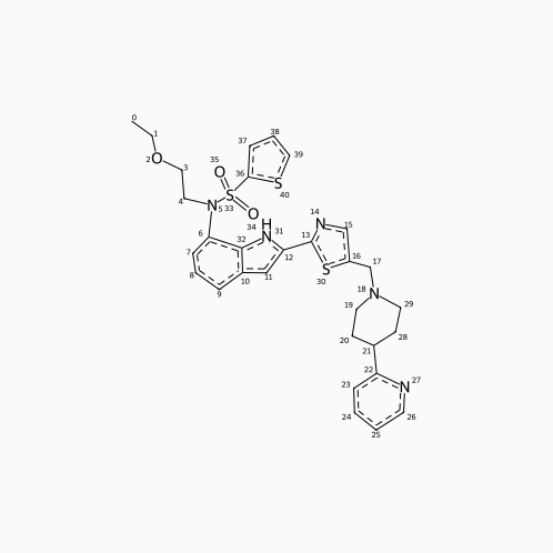 CCOCCN(c1cccc2cc(-c3ncc(CN4CCC(c5ccccn5)CC4)s3)[nH]c12)S(=O)(=O)c1cccs1